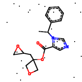 CC(c1ccccc1)n1cncc1C(=O)OC1(CC2CO2)COC1